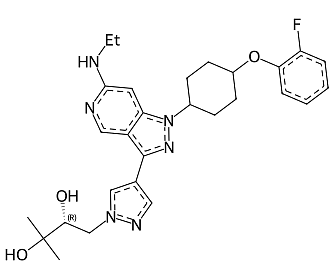 CCNc1cc2c(cn1)c(-c1cnn(C[C@@H](O)C(C)(C)O)c1)nn2C1CCC(Oc2ccccc2F)CC1